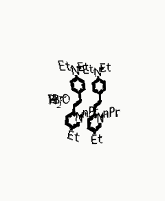 CCC[n+]1cc(CC)ccc1C=Cc1ccc(N(CC)CC)cc1.CCC[n+]1cc(CC)ccc1C=Cc1ccc(N(CC)CC)cc1.O.[Br-].[Br-]